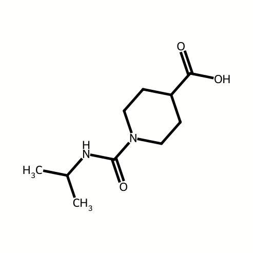 CC(C)NC(=O)N1CCC(C(=O)O)CC1